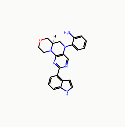 Nc1ccccc1N1C[C@@H]2COCCN2c2nc(-c3cccc4[nH]ccc34)ncc21